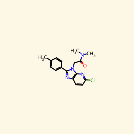 Cc1ccc(-c2nc3ccc(Cl)nc3n2CC(=O)N(C)C)cc1